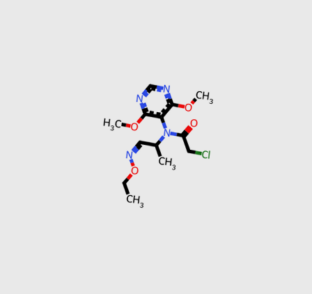 CCO/N=C\C(C)N(C(=O)CCl)c1c(OC)ncnc1OC